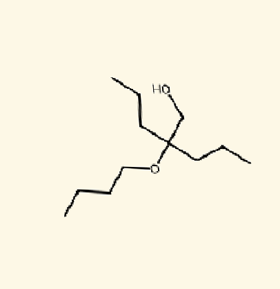 CCCCOC(CO)(CCC)CCC